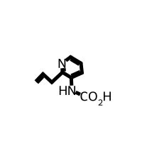 C=CCc1ncccc1NC(=O)O